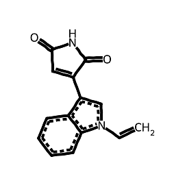 C=Cn1cc(C2=CC(=O)NC2=O)c2ccccc21